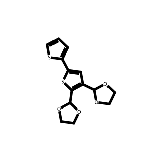 c1csc(-c2cc(C3OCCO3)c(C3OCCO3)s2)c1